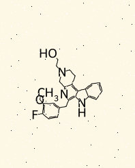 COc1cc(Cc2nc3c(c4c2[nH]c2ccccc24)CCN(CCO)C3)ccc1F